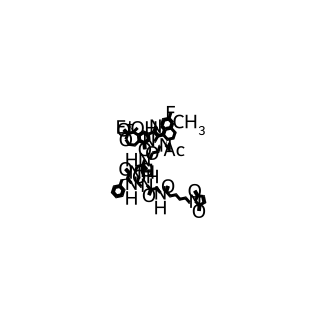 CC[C@@]1(O)C(=O)OCCc2c1cc1n(c2=O)Cc2c-1nc1cc(F)c(C)c3c1c2[C@@H](N(CCOCNC(=O)CNC(=O)[C@H](Cc1ccccc1)NC(O)CNC(=O)CNC(=O)CCCCCN1C(=O)C=CC1=O)C(C)=O)CC3